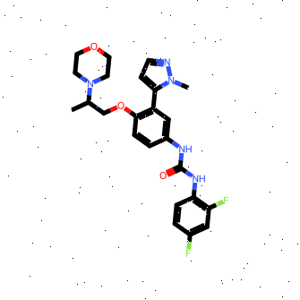 CC(COc1ccc(NC(=O)Nc2ccc(F)cc2F)cc1-c1ccnn1C)N1CCOCC1